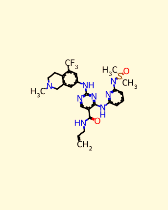 C=CCNC(=O)c1cnc(Nc2cc3c(c(C(F)(F)F)c2)CCN(C)C3)nc1Nc1cccc(N=S(C)(C)=O)n1